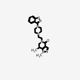 CC1CN(CCN2CCN(c3nsc4ccccc34)CC2)C(=O)c2cnn(C)c21